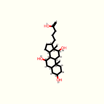 C=C(O)CCCC1CCC2C3C(O)CC4CC(O)CCC4(C)C3CC(O)C12C